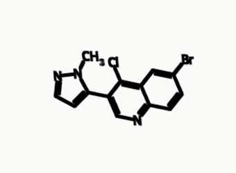 Cn1nccc1-c1cnc2ccc(Br)cc2c1Cl